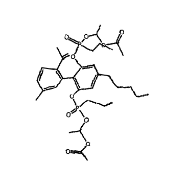 C=C(C)c1ccc(C)cc1-c1c(OP(=O)(CCC)OC(C)OC(C)=O)cc(CCCCC)cc1OP(=O)(CCC)OC(C)OC(C)=O